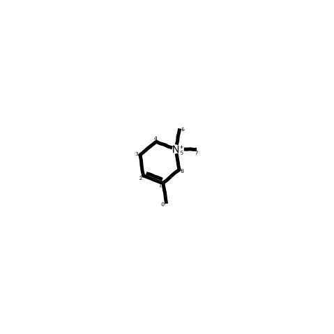 CC1=CCC[N+](C)(C)C1